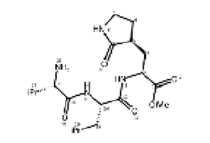 COC(=O)[C@H](C[C@@H]1CCNC1=O)NC(=O)[C@H](CC(C)C)NC(=O)[C@@H](N)C(C)C